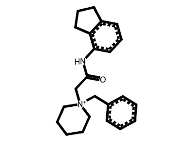 O=C(C[N+]1(Cc2ccccc2)CCCCC1)Nc1cccc2c1CCC2